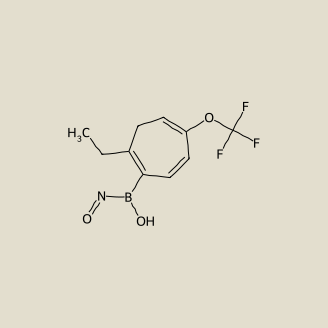 CCC1=C(B(O)N=O)C=CC(OC(F)(F)F)=CC1